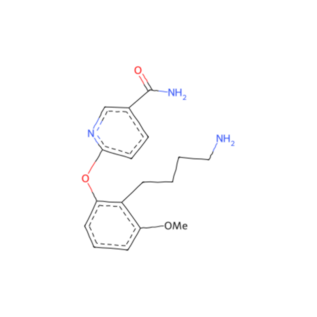 COc1cccc(Oc2ccc(C(N)=O)cn2)c1CCCCN